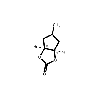 CC1C[C@@H]2OC(=O)O[C@@H]2C1